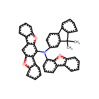 CC1(C)c2ccccc2-c2ccc(N(c3cccc4c3oc3ccccc34)c3c4oc5ccccc5c4cc4oc5ccccc5c34)cc21